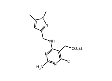 CCOC(=O)Cc1c(Cl)nc(N)nc1NCc1cc(C)n(C)n1